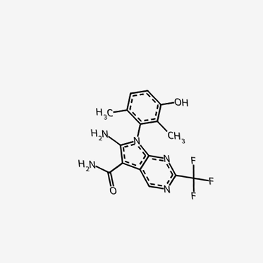 Cc1ccc(O)c(C)c1-n1c(N)c(C(N)=O)c2cnc(C(F)(F)F)nc21